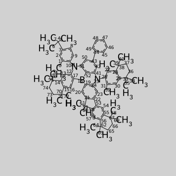 Cc1cc(C(C)(C)C)ccc1N1c2cc3c(cc2B2c4cc5c(cc4N(c4cc6c(cc4C)C(C)(C)CCC6(C)C)c4cc(-c6ccccc6)cc1c42)-c1cc2c(cc1C5(C)C)C(C)(C)CCC2(C)C)C(C)(C)CCC3(C)C